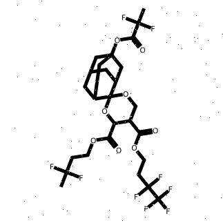 CC(F)(F)CCOC(=O)C1OC2(OCC1C(=O)OCCC(F)(F)C(F)(F)F)C1CC3CC2CC(OC(=O)C(C)(F)F)(C3)C1